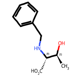 C[C@H](O)[C@@H](NCc1ccccc1)C(=O)O